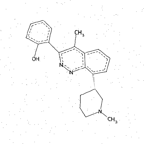 Cc1c(-c2ccccc2O)nnc2c([C@H]3CCCN(C)C3)cccc12